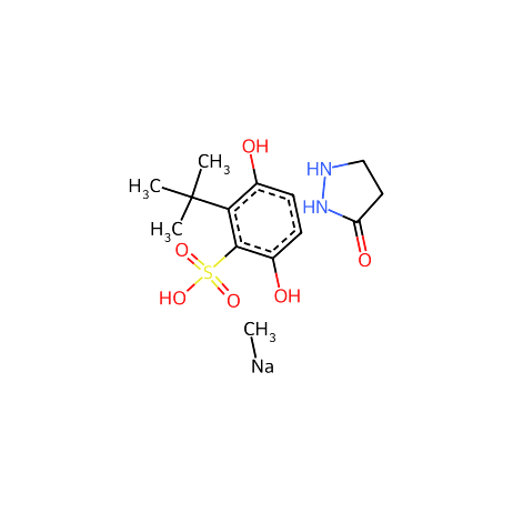 CC(C)(C)c1c(O)ccc(O)c1S(=O)(=O)O.O=C1CCNN1.[CH3][Na]